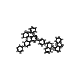 c1ccc(-c2ccc(-c3nc(-c4ccc(-c5ccc(-c6cccc7oc8ccccc8c67)c6ccccc56)cc4)nc(-c4ccccc4-c4ccccc4)n3)cc2)cc1